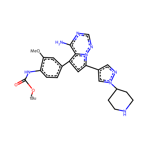 COc1cc(-c2cc(-c3cnn(C4CCNCC4)c3)n3ncnc(N)c23)ccc1NC(=O)OC(C)(C)C